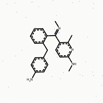 C/N=C(\c1ccccc1Cc1ccc(N)cc1)c1ccc(NC)nc1C